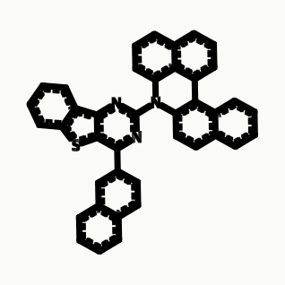 c1ccc2cc(-c3nc(N4c5ccc6ccccc6c5-c5cccc6cccc4c56)nc4c3sc3ccccc34)ccc2c1